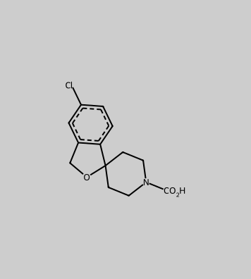 O=C(O)N1CCC2(CC1)OCc1cc(Cl)ccc12